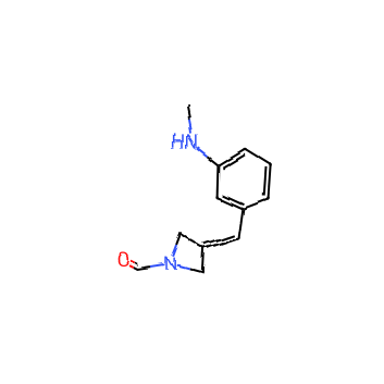 CNc1cccc(C=C2CN(C=O)C2)c1